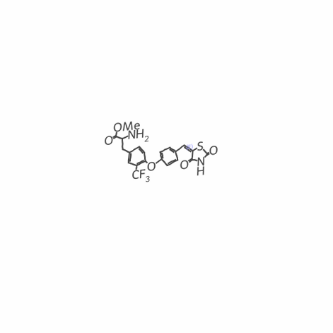 COC(=O)C(N)Cc1ccc(Oc2ccc(/C=C3/SC(=O)NC3=O)cc2)c(C(F)(F)F)c1